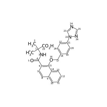 CC(C)(NC(=O)c1ccc2ccccc2c1OCc1ccc(-n2cncn2)cc1)C(=O)O